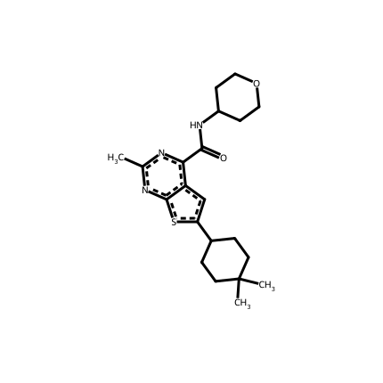 Cc1nc(C(=O)NC2CCOCC2)c2cc(C3CCC(C)(C)CC3)sc2n1